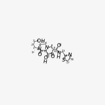 C[C@@H]1CCO[C@H]2Cn3cc(C(=O)NCc4nccs4)c(=O)c(O)c3C(=O)N12